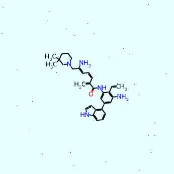 C=Cc1c(N)cc(-c2cccc3[nH]ccc23)cc1NC(=O)C(=C)/C=C\C=C(/N)CN1CCCC(C)(C)C1